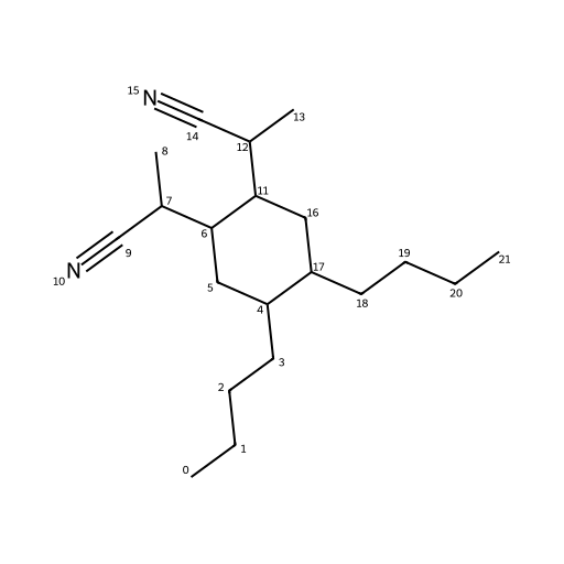 CCCCC1CC(C(C)C#N)C(C(C)C#N)CC1CCCC